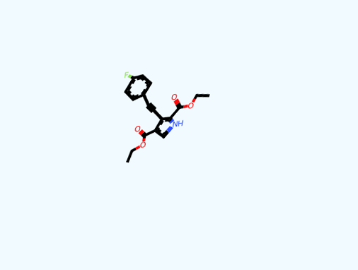 CCOC(=O)c1c[nH]c(C(=O)OCC)c1C#Cc1ccc(F)cc1